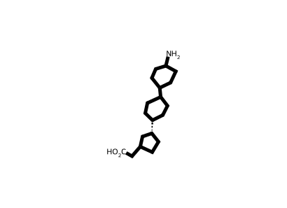 NC1CCC(C2CCC([C@@H]3CCC(CC(=O)O)C3)CC2)CC1